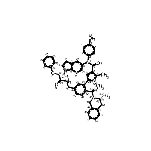 Cc1c(C(=O)N(c2ccc(O)cc2)c2cnc3c(ccn3C)c2)cc(-c2cc(CNC(=O)COc3ccccc3)ccc2C(=O)N2Cc3ccccc3C[C@H]2C)n1C